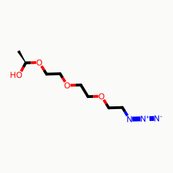 C[C@H](O)OCCOCCOCCN=[N+]=[N-]